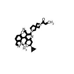 C=CC(=O)N1CC2(CCN(c3nc4c(c(-c5c(C)ccc6cnn(C)c56)c3C#N)CO[C@H](C3CC3)C4)C2)C1